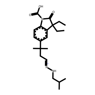 CCC1(CC)C(=O)N(C(=O)O)c2ccc(C(C)(C)C/C=N/NCC(C)C)cc21